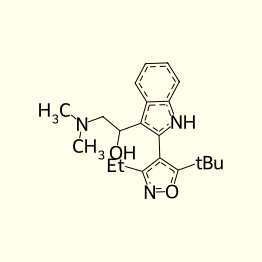 CCc1noc(C(C)(C)C)c1-c1[nH]c2ccccc2c1C(O)CN(C)C